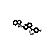 ON=C(c1ccc(F)cc1)c1cccc2nc(N[C@@H]3CCc4ccccc43)ccc12